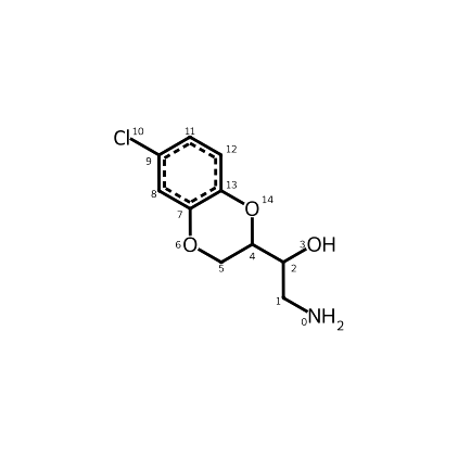 NCC(O)C1COc2cc(Cl)ccc2O1